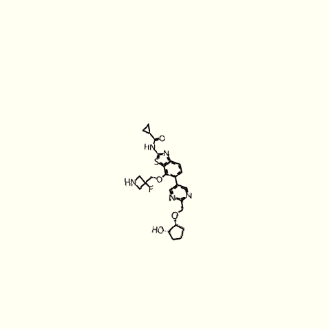 O=C(Nc1nc2ccc(-c3cnc(CO[C@H]4CCC[C@@H]4O)nc3)c(OCC3(F)CNC3)c2s1)C1CC1